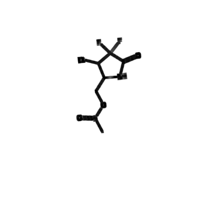 CCC1C(COS(C)=O)NC(=O)C1(F)F